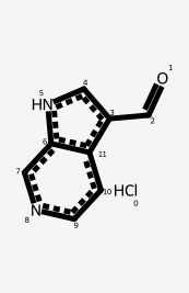 Cl.O=Cc1c[nH]c2cnccc12